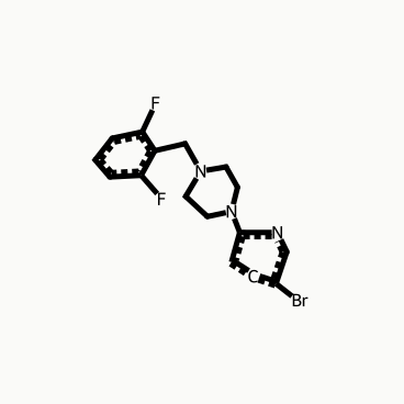 Fc1cccc(F)c1CN1CCN(c2ccc(Br)cn2)CC1